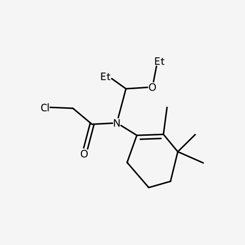 CCOC(CC)N(C(=O)CCl)C1=C(C)C(C)(C)CCC1